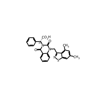 Cc1cc(C)c2c(Cn3c(=O)n([C@@H](C(=O)O)c4ccccc4)c(=O)c4ccccc43)nsc2c1